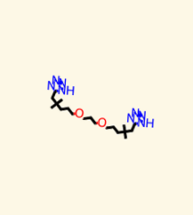 CC(C)(CCCOCCCOCCCC(C)(C)Cc1nnn[nH]1)Cc1nnn[nH]1